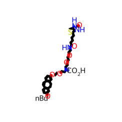 CCCCOc1ccc2c(c1)CCc1cc(OCCOCCN(CCOCCOCCNC(=O)CCCCC3SCC4NC(=O)NC43)C(=O)O)ccc1C#C2